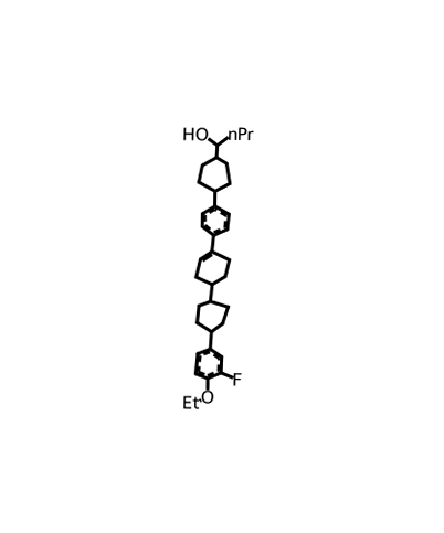 CCCC(O)C1CCC(c2ccc(C3=CCC(C4CCC(c5ccc(OCC)c(F)c5)CC4)CC3)cc2)CC1